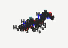 CCCOc1cc(C(=O)NCC(C)(C)C)ccc1-c1cc(C(=O)NC(C)C(C)CC(C)(C)NC(=O)c2ccc(-c3cc(C(=O)NC4CC4)cc(F)c3C)nc2)cc(F)c1C